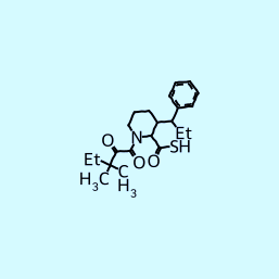 CCC(c1ccccc1)C1CCCN(C(=O)C(=O)C(C)(C)CC)C1C(=O)S